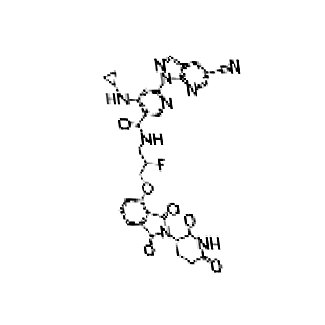 N#Cc1cnc2c(cnn2-c2cc(NC3CC3)c(C(=O)NCC(F)COc3cccc4c3C(=O)N(C3CCC(=O)NC3=O)C4=O)cn2)c1